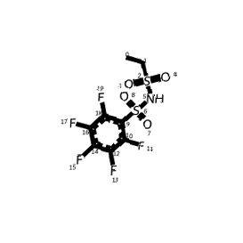 CCS(=O)(=O)NS(=O)(=O)c1c(F)c(F)c(F)c(F)c1F